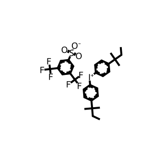 CCC(C)(C)c1ccc([I+]c2ccc(C(C)(C)CC)cc2)cc1.O=S(=O)([O-])c1cc(C(F)(F)F)cc(C(F)(F)F)c1